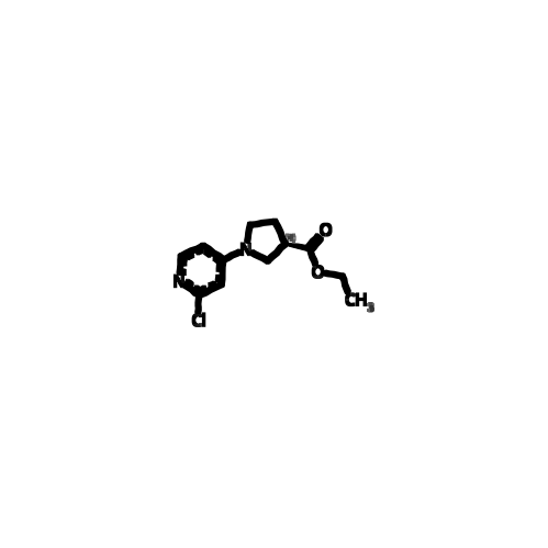 CCOC(=O)[C@@H]1CCN(c2ccnc(Cl)c2)C1